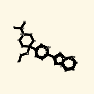 CCOC1(c2ccc(-c3cc4cccnn4c3)nc2)CCN(C(C)C)CC1